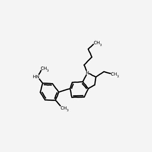 CCCCN1c2cc(-c3cc(NC)ccc3C)ccc2CC1CC